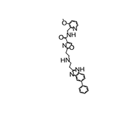 COc1cccnc1CNC(=O)c1coc(CCNCCc2nc3cc(-c4ccccc4)ccc3[nH]2)n1